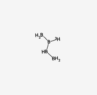 [3H]B(B)BB